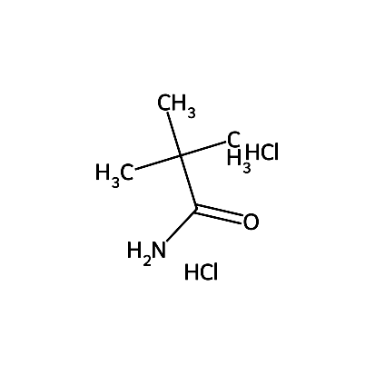 CC(C)(C)C(N)=O.Cl.Cl